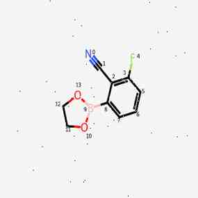 N#Cc1c(F)cccc1B1OCCO1